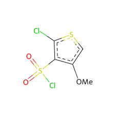 COc1csc(Cl)c1S(=O)(=O)Cl